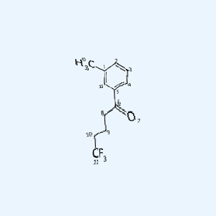 Cc1cccc(C(=O)CCCC(F)(F)F)c1